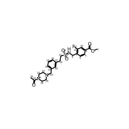 COC(=O)c1ccc(CNS(=O)(=O)CCc2cccc(CN3CCN(C(C)=O)CC3)c2)c(F)c1